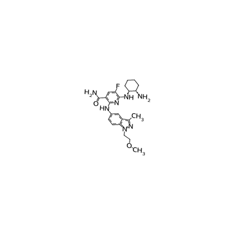 COCCn1nc(C)c2cc(Nc3nc(N[C@H]4CCCC[C@H]4N)c(F)cc3C(N)=O)ccc21